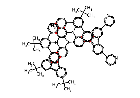 Cc1cc2c3c(c1)N(c1c(-c4ccccc4)cc(C(C)(C)C)cc1-c1ccccc1)c1cc(-n4c5ccc(C(C)(C)C)cc5c5cc(C(C)(C)C)ccc54)ccc1B3c1ccc(-n3c4ccc(-c5cccnc5)cc4c4cc(-c5cccnc5)ccc43)cc1N2c1c(-c2ccccc2)cc(C(C)(C)C)cc1-c1ccccc1